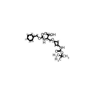 CC(C)(C)OC(=O)NC1CC(OCC(NC(=O)OCc2ccccc2)C(=O)O)C1